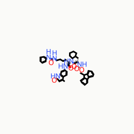 Cc1cc(=O)[nH]c2cc(NC(=O)[C@H](CCCCNC(=O)Nc3ccccc3)NC(=O)[C@H](CC3CCCCC3)NC(=O)OCC3c4ccccc4-c4ccccc43)ccc12